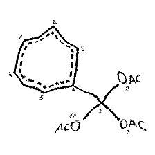 CC(=O)OC(OC(C)=O)(OC(C)=O)c1ccccc1